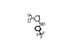 O=C[C@H](Cl)N1CCC[C@@H](Nc2cccc(C(F)(F)F)c2)C1